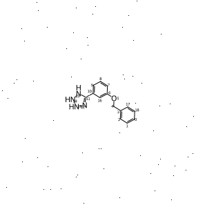 c1ccc(COc2cccc(C3=NNNN3)c2)cc1